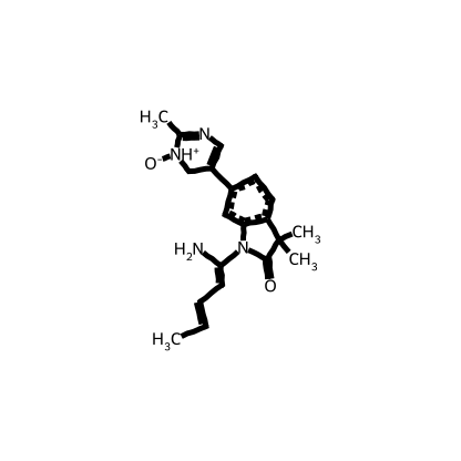 C/C=C/C=C(\N)N1C(=O)C(C)(C)c2ccc(C3=CN=C(C)[NH+]([O-])C3)cc21